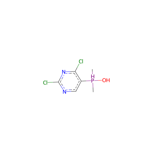 C[PH](C)(O)c1cnc(Cl)nc1Cl